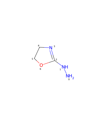 NNC1=NCCO1